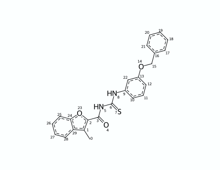 Cc1c(C(=O)NC(=S)Nc2cccc(OCc3ccccc3)c2)oc2ccccc12